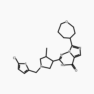 CC1CN(Cc2ccc(Cl)s2)CC1c1nn2c(C3CCCOCC3)ncc2c(=O)[nH]1